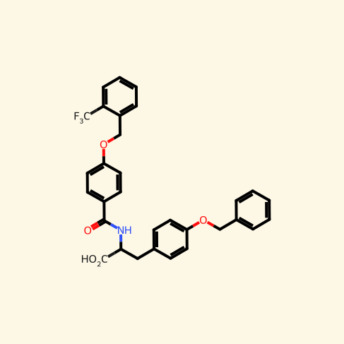 O=C(NC(Cc1ccc(OCc2ccccc2)cc1)C(=O)O)c1ccc(OCc2ccccc2C(F)(F)F)cc1